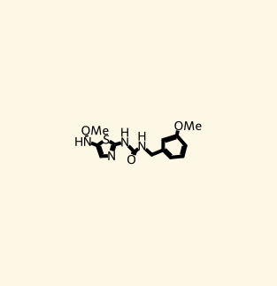 CONc1cnc(NC(=O)NCc2cccc(OC)c2)s1